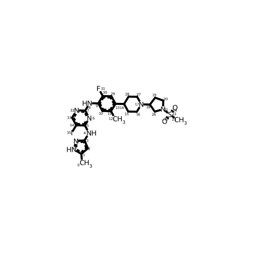 Cc1cc(Nc2nc(Nc3cc(C)c(C4CCN(C5CCN(S(C)(=O)=O)C5)CC4)cc3F)ncc2I)n[nH]1